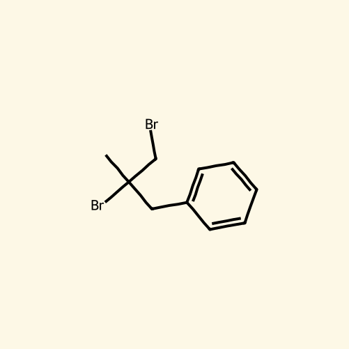 CC(Br)(CBr)Cc1ccccc1